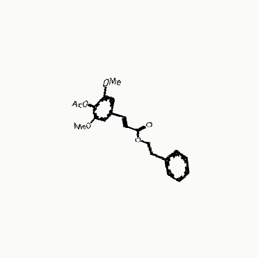 COc1cc(/C=C/C(=O)OCCc2ccccc2)cc(OC)c1OC(C)=O